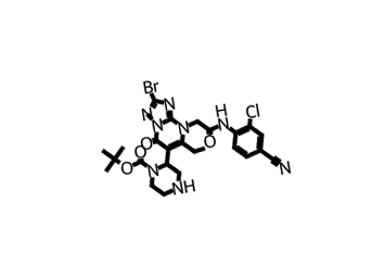 CCc1c(C2CNCCN2C(=O)OC(C)(C)C)c(=O)n2nc(Br)nc2n1CC(=O)Nc1ccc(C#N)cc1Cl